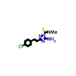 CNC(=S)n1nc(C=Cc2ccc(Cl)cc2)nc1N